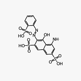 [NH]c1cc(S(=O)(=O)O)cc2cc(S(=O)(=O)O)c(N=Nc3ccccc3S(=O)(=O)O)c(O)c12